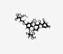 Nc1c(C(=O)c2ccc(F)cc2F)ccc(=O)n1-c1c(F)cc(OCC[C@H](N)C(=O)O)cc1F.O=C(O)C(F)(F)F